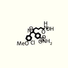 COc1ccc(-c2noc(CCCC(=O)NO)c2-c2ccc(S(N)(=O)=O)cc2)cc1Cl